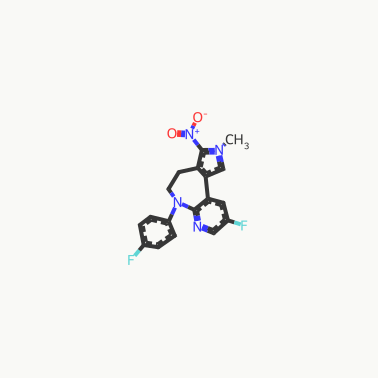 Cn1cc2c(c1[N+](=O)[O-])CCN(c1ccc(F)cc1)c1ncc(F)cc1-2